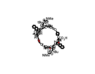 CN[C@@H](C)C(=O)N[C@H](C(=O)N1C[C@@H]2C[C@H]1C(=O)N[C@@H](Cc1ccc3ccccc3c1)C(=O)N[C@H](C(=O)O)Cc1ccc(cc1)OCc1cn(nn1)[C@H]1C[C@@H](C(=O)N[C@@H](Cc3ccc4ccccc4c3)C(=O)N[C@H](C(=O)N[C@@H](C)C(=O)O)Cc3ccc(cc3)OCc3cn2nn3)N(C(=O)[C@@H](NC(=O)[C@H](C)NC)C(C)(C)C)C1)C(C)(C)C